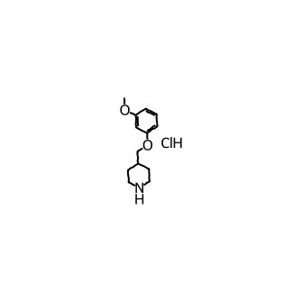 COc1cccc(OCC2CCNCC2)c1.Cl